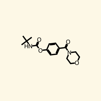 CC(C)(C)NC(=O)Oc1ccc(C(=O)N2CCOCC2)cc1